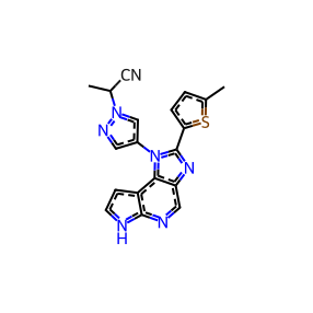 Cc1ccc(-c2nc3cnc4[nH]ccc4c3n2-c2cnn(C(C)C#N)c2)s1